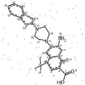 CC(C)(C)n1cc(C(=O)O)c(=O)c2cc(N)c(N3CCN(c4nc5ccccc5s4)CC3)cc21